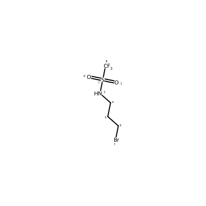 O=S(=O)(NCCCBr)C(F)(F)F